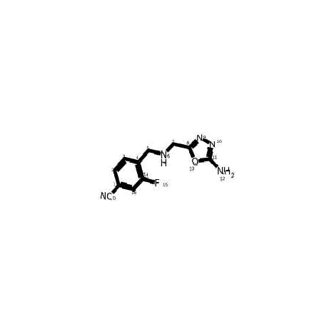 N#Cc1ccc(CNCc2nnc(N)o2)c(F)c1